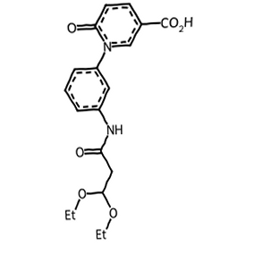 CCOC(CC(=O)Nc1cccc(-n2cc(C(=O)O)ccc2=O)c1)OCC